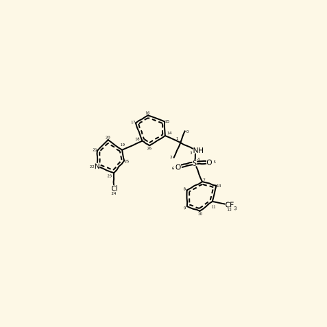 CC(C)(NS(=O)(=O)c1cccc(C(F)(F)F)c1)c1cccc(-c2ccnc(Cl)c2)c1